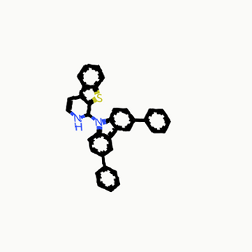 C1=Cc2c(sc3ccccc23)C(n2c3ccc(-c4ccccc4)cc3c3cc(-c4ccccc4)ccc32)N1